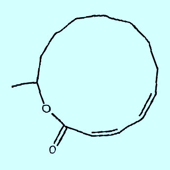 CC1CCCCCCCC=CC=CC(=O)O1